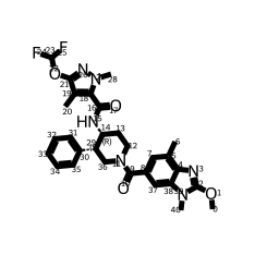 COc1nc2c(C)cc(C(=O)N3CC[C@@H](NC(=O)c4c(C)c(OC(F)F)nn4C)[C@@H](c4ccccc4)C3)cc2n1C